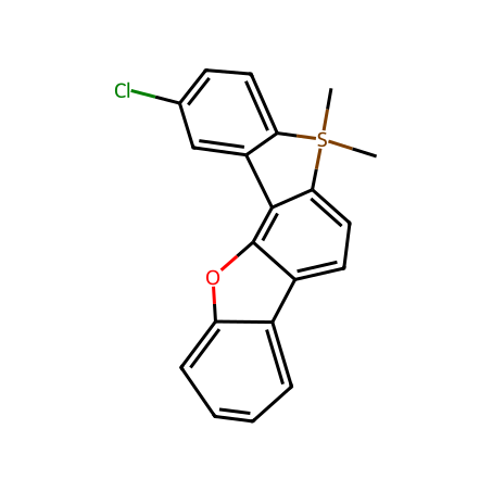 CS1(C)c2ccc(Cl)cc2-c2c1ccc1c2oc2ccccc21